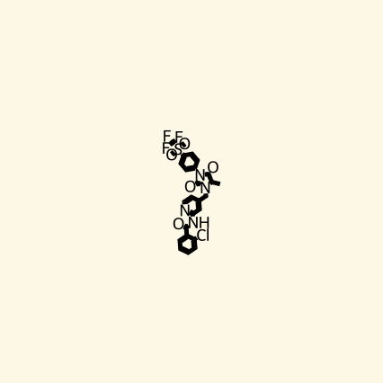 CC1C(=O)N(c2ccc(S(=O)(=O)C(F)(F)F)cc2)C(=O)N1Cc1ccnc(NC(=O)c2ccccc2Cl)c1